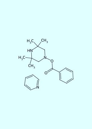 CC1(C)CN(OC(=O)c2ccccc2)CC(C)(C)N1.c1ccncc1